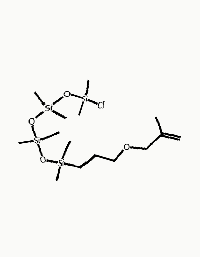 C=C(C)COCCC[Si](C)(C)O[Si](C)(C)O[Si](C)(C)O[Si](C)(C)Cl